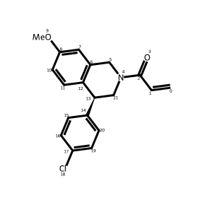 C=CC(=O)N1Cc2cc(OC)ccc2[C@H](c2ccc(Cl)cc2)C1